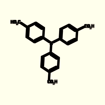 O=C(O)c1ccc(N(c2ccc(C(=O)O)cc2)c2ccc(C(=O)O)cc2)cc1